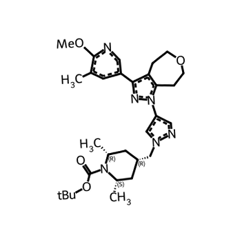 COc1ncc(-c2nn(-c3cnn(C[C@H]4C[C@@H](C)N(C(=O)OC(C)(C)C)[C@@H](C)C4)c3)c3c2CCOCC3)cc1C